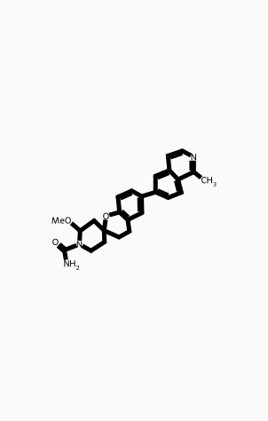 COC1CC2(CCc3cc(-c4ccc5c(C)nccc5c4)ccc3O2)CCN1C(N)=O